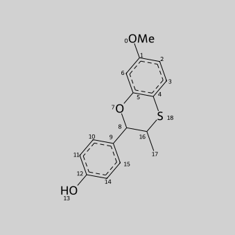 COc1ccc2c(c1)OC(c1ccc(O)cc1)C(C)S2